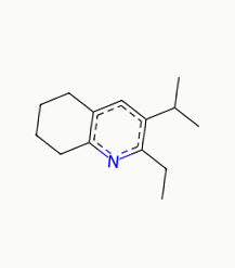 CCc1nc2c(cc1C(C)C)CCCC2